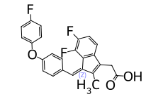 CC1=C(CC(=O)O)c2ccc(F)c(F)c2/C1=C\c1ccc(Oc2ccc(F)cc2)cc1